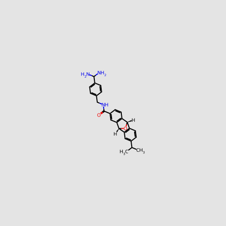 CC(C)c1ccc2c(c1)[C@H]1O[C@@H]2c2ccc(C(=O)NCc3ccc(C(N)N)cc3)cc21